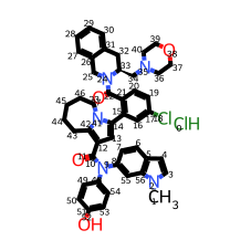 Cl.Cn1ccc2ccc(N(C(=O)c3cc(-c4cc(Cl)ccc4C(=O)N4Cc5ccccc5C[C@H]4CN4CCOCC4)n4c3CCCCC4)c3ccc(O)cc3)cc21